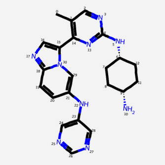 Cc1cnc(N[C@H]2CC[C@@H](N)CC2)nc1-c1cnc2ccc(Nc3cncnc3)cn12